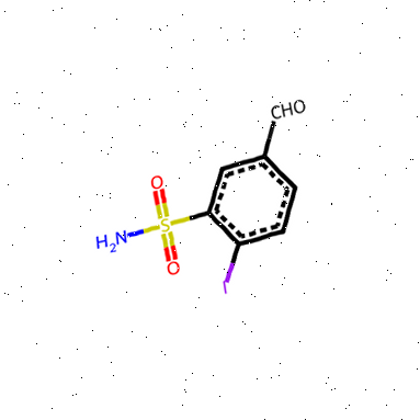 NS(=O)(=O)c1cc(C=O)ccc1I